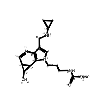 COC(=O)NCCCn1cc(CNC2CC2)c2c1C1C(C)C1C=N2